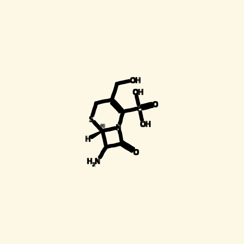 NC1C(=O)N2C(P(=O)(O)O)=C(CO)CS[C@@H]12